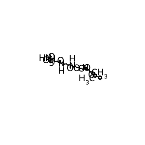 Cc1cc(-c2ccccc2)cc(C)c1OCCCc1cc(COCCOCCNC(=O)CCCCCNC(=O)CCCC[C@@H]2SCC3C(=O)NC(=O)[C@H]32)no1